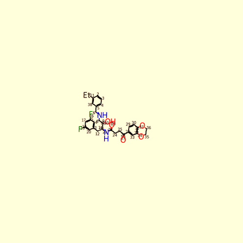 CCc1cccc(CNC[C@@H](O)[C@H](Cc2cc(F)cc(F)c2)NC(=O)CCC(=O)c2ccc3c(c2)OCCO3)c1